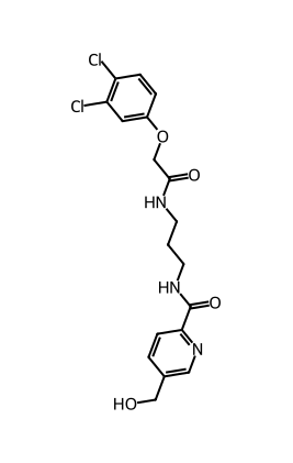 O=C(COc1ccc(Cl)c(Cl)c1)NCCCNC(=O)c1ccc(CO)cn1